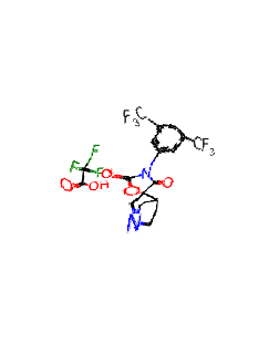 O=C(O)C(F)(F)F.O=C1OC2(CN3CCC2CC3)C(=O)N1c1cc(C(F)(F)F)cc(C(F)(F)F)c1